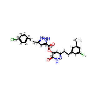 Cc1cc(F)cc(CCc2cc(OC(=O)c3cc(CCc4ccc(Cl)cc4)n[nH]3)c(=O)[nH]n2)c1